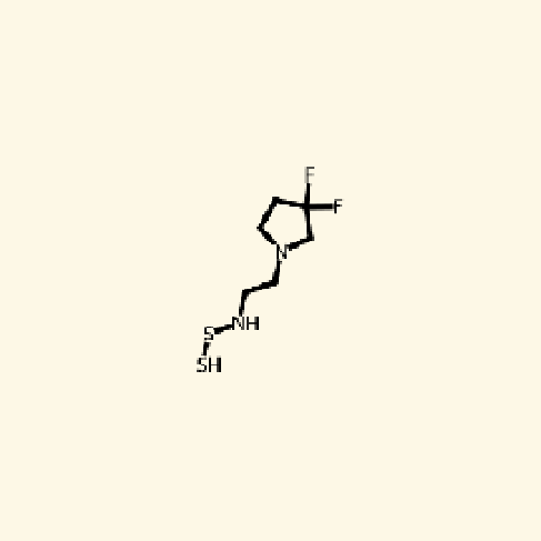 FC1(F)CCN(CCNSS)C1